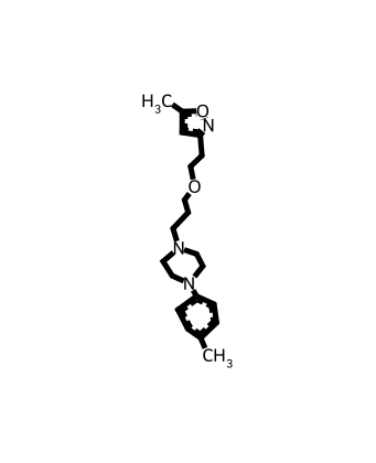 Cc1ccc(N2CCN(CCCOCCc3cc(C)on3)CC2)cc1